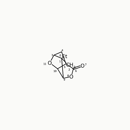 CC[C@@]1(C)C2CC3C(=O)OC1C3O2